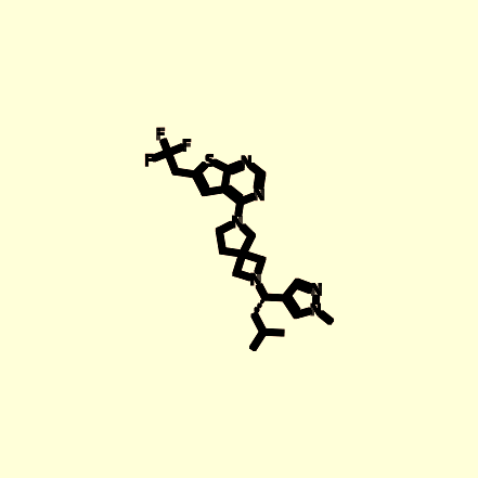 CC(C)C[C@@H](c1cnn(C)c1)N1CC2(CCN(c3ncnc4sc(CC(F)(F)F)cc34)C2)C1